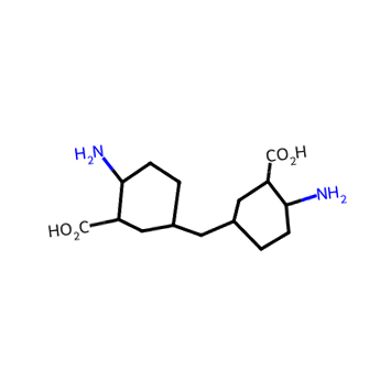 NC1CCC(CC2CCC(N)C(C(=O)O)C2)CC1C(=O)O